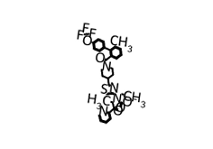 CC[N+](C(=O)[O-])(c1csc(C2CCN(C(=O)c3cccc(C)c3-c3ccc(OC(F)(F)F)cc3)CC2)n1)C(C)C(=O)c1ccccn1